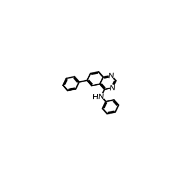 c1ccc(Nc2ncnc3ccc(-c4ccccc4)cc23)cc1